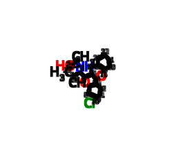 CB(O)NC(c1oc2cc(Cl)ccc2c(=O)c1Cc1ccccc1)C(C)C